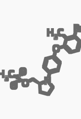 Cc1c(Br)cccc1Oc1ccc(N2CCC[C@H]2COS(C)(=O)=O)cc1